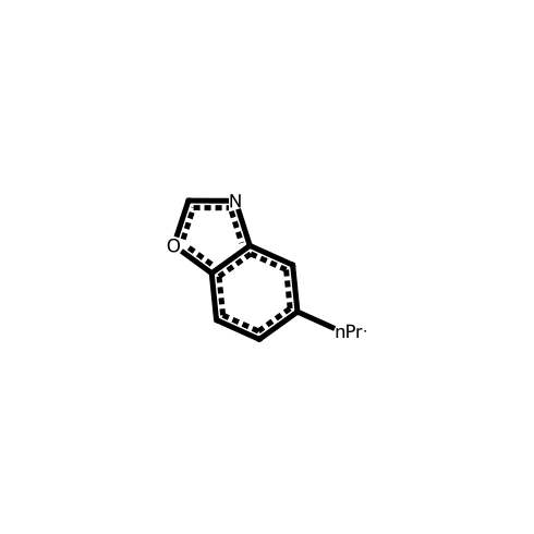 CC[CH]c1ccc2ocnc2c1